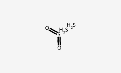 O=S=O.S.S